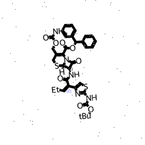 CC/C=C(\C(=O)N[C@@H]1C(=O)N2C(C(=O)OC(c3ccccc3)c3ccccc3)=C(COC(N)=O)CS[C@@H]12)c1csc(NC(=O)OC(C)(C)C)n1